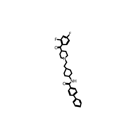 O=C(NC1CCC(CCN2CCC(C(=O)c3ccc(F)cc3F)CC2)CC1)c1ccc(-c2ccccc2)cc1